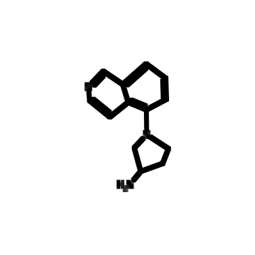 NC1CCN(c2cccc3cnccc23)C1